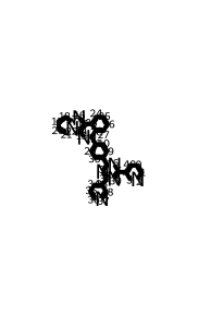 c1cncc(-c2nc(-c3ccc(-c4nc5c(nc6ccccn65)c5ccccc45)cc3)nc(-c3cccnc3)n2)c1